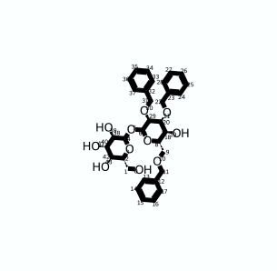 OC[C@H]1OC(OC2O[C@@H](COCc3ccccc3)[C@H](O)[C@@H](OCc3ccccc3)[C@@H]2OCc2ccccc2)[C@H](O)[C@@H](O)[C@H]1O